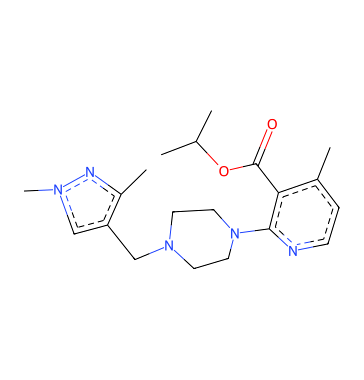 Cc1ccnc(N2CCN(Cc3cn(C)nc3C)CC2)c1C(=O)OC(C)C